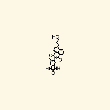 Cc1cc2[nH]c(=O)[nH]c2cc1N1C(=O)c2cccc3c(CCCO)ccc(c23)C1=O